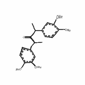 COc1ccc(C(C)C(=O)C(C)c2ccc(OC)c(OC)c2)cc1OC